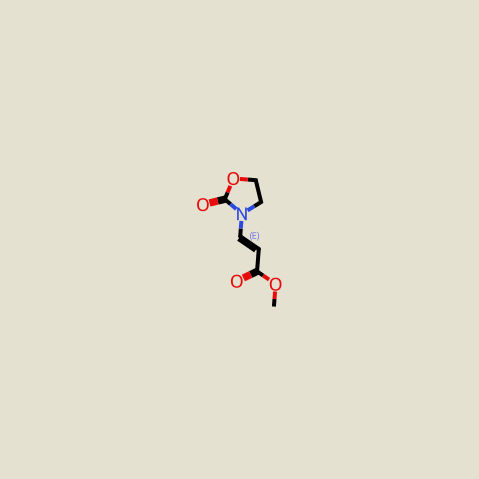 COC(=O)/C=C/N1CCOC1=O